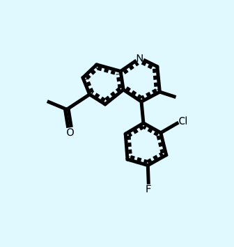 CC(=O)c1ccc2ncc(C)c(-c3ccc(F)cc3Cl)c2c1